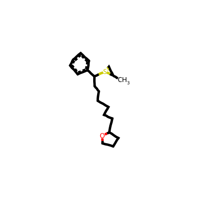 CC1C[S+]1C(CCCCCCC1CCCO1)c1ccccc1